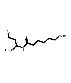 CCCCCCCCCCCCCCCC(=O)NC(CCC(C)=O)C(=O)O